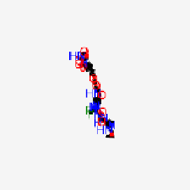 O=C1CCC(n2c(=O)oc3cc(CCCOCCOCCNC(=O)c4ccc(-n5cc(NC(=O)c6coc(-c7ccnc(NCC8CC8)c7)n6)c(C(F)F)n5)cc4)ccc32)C(=O)N1